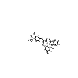 COc1cc(CC(=O)N2CCc3c(n(Cc4cc(F)cc(F)c4)c4ncccc34)C2)ccc1C(=O)O